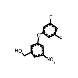 O=[N+]([O-])c1cc(CO)cc(Oc2cc(F)cc(F)c2)c1